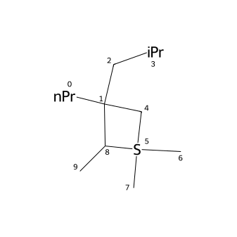 CCCC1(CC(C)C)CS(C)(C)C1C